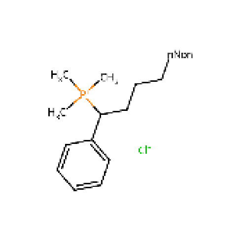 CCCCCCCCCCCCC(c1ccccc1)[P+](C)(C)C.[Cl-]